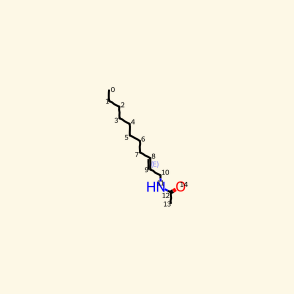 CCCCCCCC/C=C/CNC(C)=O